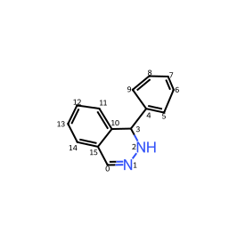 C1=NNC(c2ccccc2)c2ccccc21